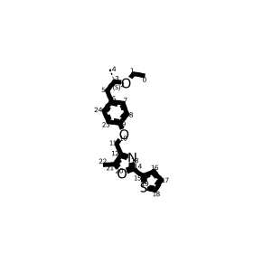 CCO[C@@H](C)Cc1ccc(OCc2nc(-c3cccs3)oc2C)cc1